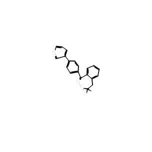 CC1(C)Cc2ccccc2C(c2ccc(-c3cccnc3)cc2)=NN1